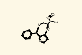 CN(N=O)C1=Nc2ccsc2C(c2ccccc2)=NC1